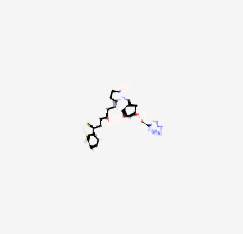 O=C1CC[C@H](CCC(O)CCc2csc3ccccc23)N1Cc1cccc(OCc2nn[nH]n2)c1